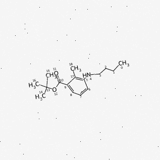 CCCCNc1cccc(C(=O)OC(C)(C)C)c1C